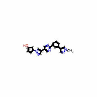 Cn1cc(-c2cccc(-c3ncc(-c4cnn([C@H]5C=C[C@@H](O)C5)c4)cn3)c2)cn1